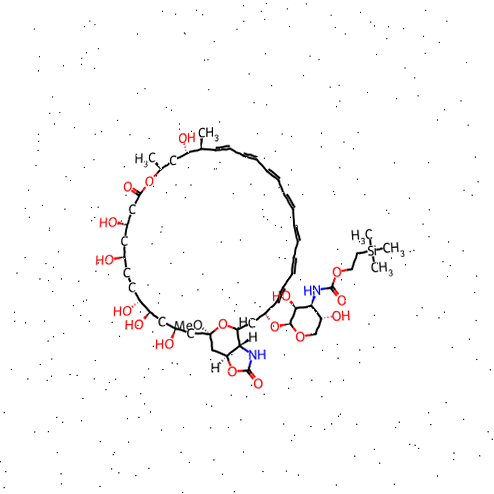 CO[C@]12C[C@@H](O)C[C@@H](O)[C@H](O)CC[C@@H](O)C[C@@H](O)CC(=O)O[C@@H](C)C[C@H](O)[C@@H](C)/C=C/C=C/C=C/C=C/C=C/C=C/C=C/[C@H](O[C@@H]3OC[C@@H](O)[C@H](NC(=O)OCC[Si](C)(C)C)[C@@H]3O)C[C@H](O1)[C@@H]1NC(=O)O[C@H]1C2